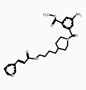 COC(=O)c1cc(N)cc(C(=O)N2CCC(CCCCNC(=O)/C=C/c3cccnc3)CC2)c1